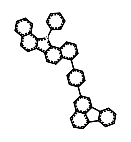 c1ccc(-n2c3c4ccccc4ccc3c3ccc4c(-c5ccc(-c6cc7c8c(cccc8c6)-c6ccccc6-7)cc5)cccc4c32)cc1